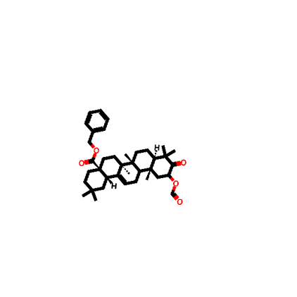 CC1(C)CC[C@]2(C(=O)OCc3ccccc3)CC[C@]3(C)C(=CCC4[C@@]5(C)CC(OC=O)C(=O)C(C)(C)[C@@H]5CC[C@]43C)[C@@H]2C1